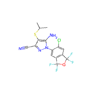 CC(C)Sc1c(C#N)nn(-c2cc3c(cc2Cl)C(F)(F)OC3(F)F)c1N